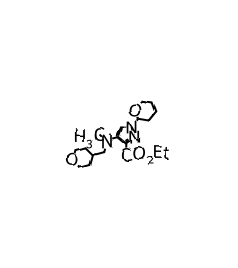 CCOC(=O)c1nn(C2CCCCO2)cc1N(C)CC1CCOCC1